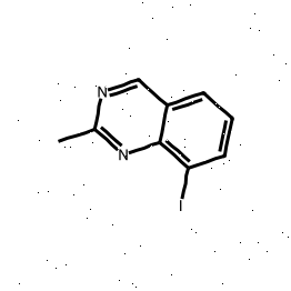 Cc1ncc2cccc(I)c2n1